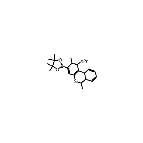 CCCC1C2=C(C=C(B3OC(C)(C)C(C)(C)O3)C1C)SC(C)C1C=CC=CC21